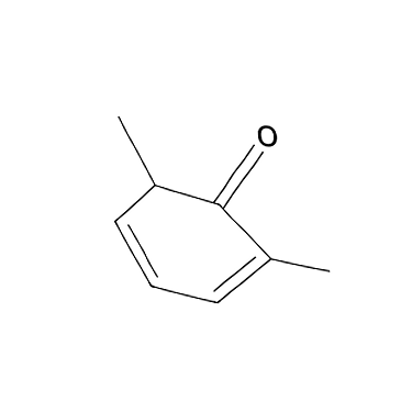 CC1=CC=CC(C)C1=O